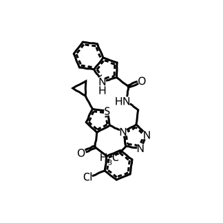 Cc1nnc(CNC(=O)c2cc3ccccc3[nH]2)n1-c1sc(C2CC2)cc1C(=O)c1ccccc1Cl